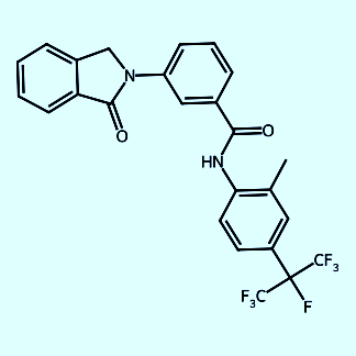 Cc1cc(C(F)(C(F)(F)F)C(F)(F)F)ccc1NC(=O)c1cccc(N2Cc3ccccc3C2=O)c1